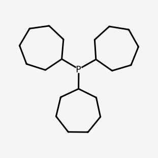 C1CCCC(P(C2CCCCCC2)C2CCCCCC2)CC1